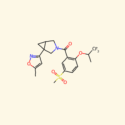 Cc1cc(C23CC2CN(C(=O)c2cc(S(C)(=O)=O)ccc2OC(C)C(F)(F)F)C3)no1